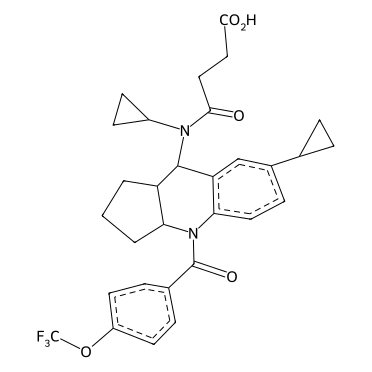 O=C(O)CCC(=O)N(C1CC1)C1c2cc(C3CC3)ccc2N(C(=O)c2ccc(OC(F)(F)F)cc2)C2CCCC21